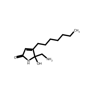 CCCCCCCC1=CC(=O)NC1(O)CN